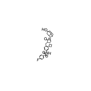 O=C1C(Cc2ccc(NS(=O)(=O)c3ccc(F)cc3)cc2Cl)CCN1C1C2CC3CC1CC(O)(C3)C2